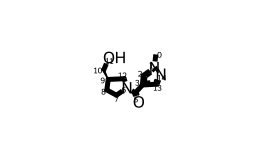 Cn1cc(C(=O)N2CC[C@@H](CO)C2)cn1